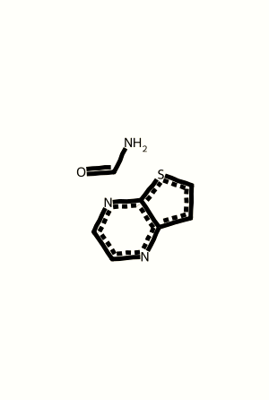 NC=O.c1cnc2sccc2n1